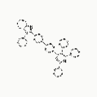 C1=Cc2nc(-c3ccc(-c4ccc(-c5nc(-c6ccccc6)nc(-c6ccccc6)c5-c5ccccc5)cc4)cc3)n(-c3ccccc3)c2CC1